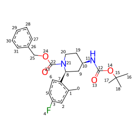 Cc1cc(F)ccc1[C@@H]1C[C@H](NC(=O)OC(C)(C)C)CCN1C(=O)OCc1ccccc1